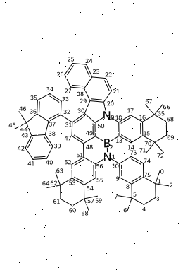 CC1(C)CCC(C)(C)c2cc(N3B4c5cc6c(cc5-n5c7ccc8ccccc8c7c7c(-c8cccc9c8-c8ccccc8C9(C)C)cc(c4c75)-c4cc5c(cc43)C(C)(C)CCC5(C)C)C(C)(C)CCC6(C)C)ccc21